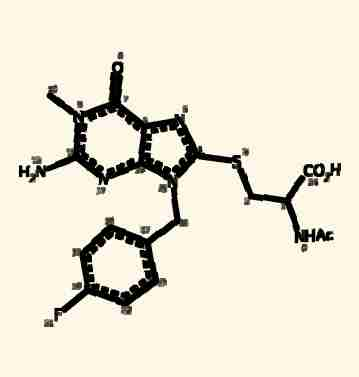 CC(=O)NC(CSc1nc2c(=O)n(C)c(N)nc2n1Cc1ccc(F)cc1)C(=O)O